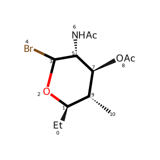 CC[C@H]1OC(Br)[C@H](NC(C)=O)[C@@H](OC(C)=O)[C@@H]1C